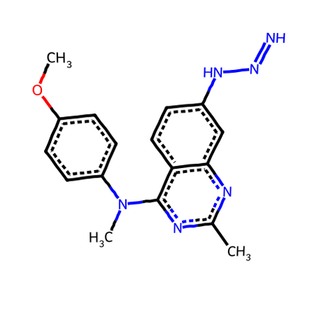 COc1ccc(N(C)c2nc(C)nc3cc(NN=N)ccc23)cc1